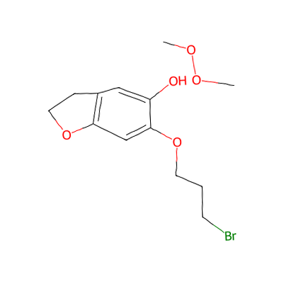 COOC.Oc1cc2c(cc1OCCCBr)OCC2